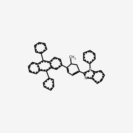 CC1CC(c2nc3ccccc3n2-c2ccccc2)=CC=C1c1ccc2c(-c3ccccc3)c3ccccc3c(-c3ccccc3)c2c1